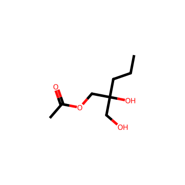 CCCC(O)(CO)COC(C)=O